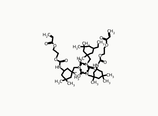 C=CC(=O)OCCOC(=O)NC1CC(C)(C)CC(C)(Cn2c(=O)n(CC3(C)CC(CC)CC(C)(C)C3)c(=O)n(CC3(C)CC(NC(=O)OCCOC(=O)C=C)CC(C)(C)C3)c2=O)C1